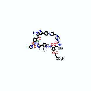 Cc1ncsc1-c1ccc(CNC(=O)[C@@H]2C[C@@H](OC(=O)CCC(=O)O)CC2C(=O)C(NC(=O)CN2CCN(CC3CCN(c4ccc(-c5cnc6[nH]cc(C(=O)c7c(F)ccc(NS(=O)(=O)N8CC[C@@H](F)C8)c7F)c6c5)cc4)CC3)CC2)C(C)(C)C)cc1